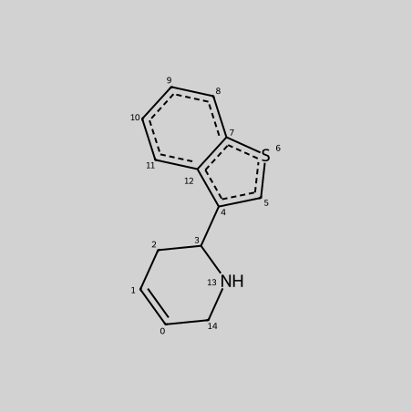 C1=CCC(c2csc3ccccc23)NC1